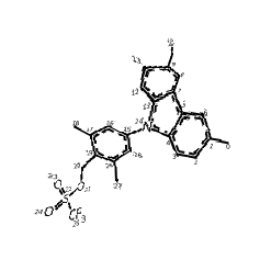 Cc1ccc2c(c1)c1cc(C)ccc1n2-c1cc(C)c(COS(=O)(=O)C(F)(F)F)c(C)c1